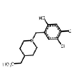 O=C(O)CC1CCN(Cc2cc(Cl)c(Cl)cc2O)CC1